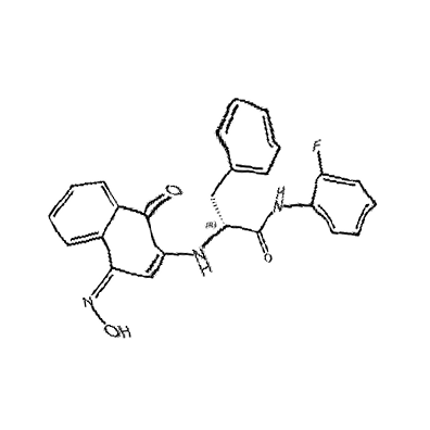 O=C1C(N[C@H](Cc2ccccc2)C(=O)Nc2ccccc2F)=CC(=NO)c2ccccc21